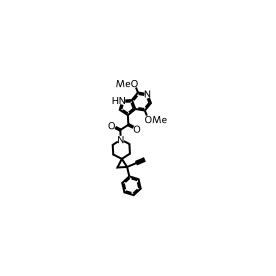 C#CC1(c2ccccc2)CC12CCN(C(=O)C(=O)c1c[nH]c3c(OC)ncc(OC)c13)CC2